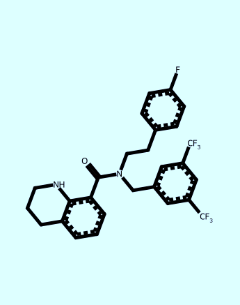 O=C(c1cccc2c1NCCC2)N(CCc1ccc(F)cc1)Cc1cc(C(F)(F)F)cc(C(F)(F)F)c1